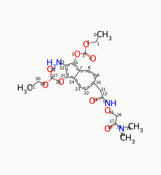 CCOC(=O)Oc1c2ccc(CC(=O)NOCC(=O)N(C)C)ccc-2c(OC(=O)OCC)c1N